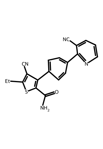 CCc1sc(C(N)=O)c(-c2ccc(-c3ncccc3C#N)cc2)c1C#N